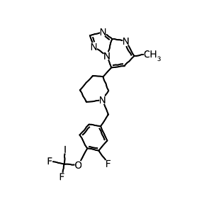 Cc1cc(C2CCCN(Cc3ccc(OC(F)(F)I)c(F)c3)C2)n2ncnc2n1